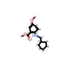 COC(=O)c1cc(OC)ccc1NCC1CCCCC1